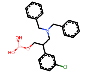 OB(O)OCC(CN(Cc1ccccc1)Cc1ccccc1)c1cccc(Cl)c1